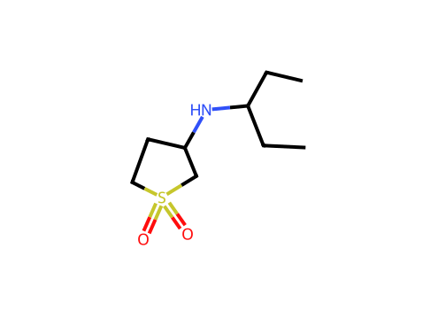 CCC(CC)NC1CCS(=O)(=O)C1